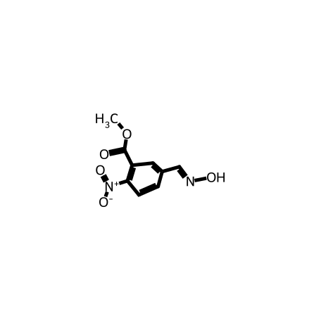 COC(=O)c1cc(C=NO)ccc1[N+](=O)[O-]